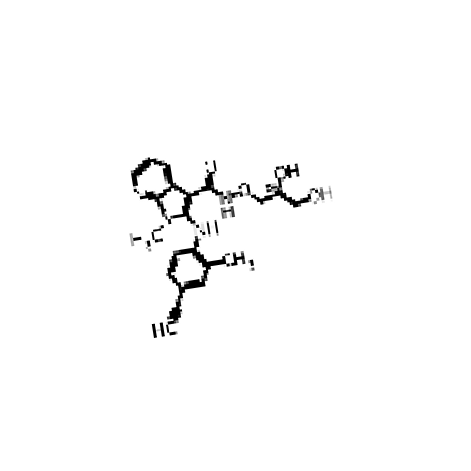 C#Cc1ccc(Nc2c(C(=O)NOC[C@@H](O)CO)c3cccnc3n2C)c(C)c1